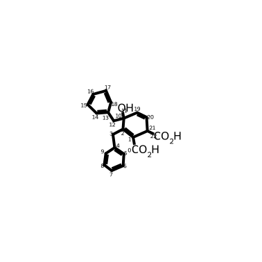 O=C(O)C1=C(Cc2ccccc2)C(O)(Cc2ccccc2)C=CC1C(=O)O